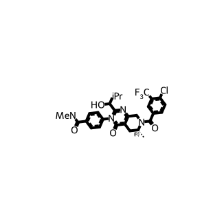 CNC(=O)c1ccc(-n2c(C(O)C(C)C)nc3c(c2=O)C[C@@H](C)N(C(=O)c2ccc(Cl)c(C(F)(F)F)c2)C3)cc1